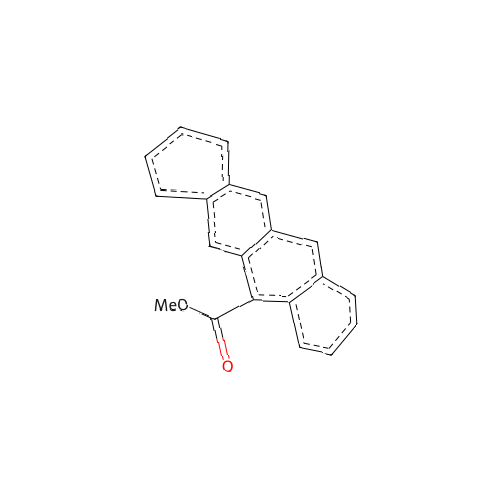 COC(=O)c1c2ccccc2cc2cc3ccccc3cc12